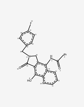 CC(C)C(=O)Nc1c2c(c(O)c3ncccc13)C(=O)N(Cc1ccc(F)cc1)C2